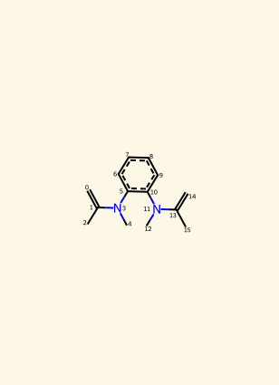 C=C(C)N(C)c1ccccc1N(C)C(=C)C